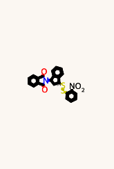 O=C1c2ccccc2C(=O)N1C1C[C@H](SSc2ccccc2[N+](=O)[O-])c2ccccc21